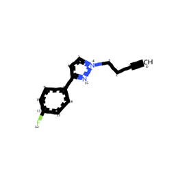 C#CCCn1ccc(-c2ccc(F)cc2)n1